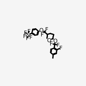 Cc1ccc(C(F)(F)OC2CCC(C(F)(F)Oc3ccc(S(F)(F)(F)(F)F)cc3)CO2)c(F)c1